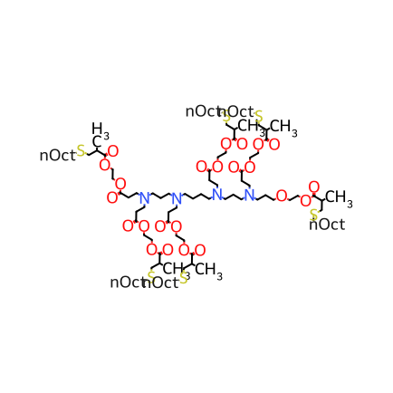 CCCCCCCCSCC(C)C(=O)OCCOCCCN(CCCN(CCCCN(CCCN(CCC(=O)OCCOC(=O)C(C)CSCCCCCCCC)CCC(=O)OCCOC(=O)C(C)CSCCCCCCCC)CCC(=O)OCCOC(=O)C(C)CSCCCCCCCC)CCC(=O)OCCOC(=O)C(C)CSCCCCCCCC)CCC(=O)OCCOC(=O)C(C)CSCCCCCCCC